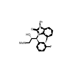 CNC[C@H](O)[C@H](c1cccc(F)c1)n1c(=O)n(C(C)C)c2cccc(F)c21